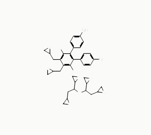 C1OC1CC(OC(CC1CO1)C1CO1)C1CO1.CC(C)c1c(CC2CO2)c(CC2CO2)c(C(C)C)c(-c2ccc(N)cc2)c1-c1ccc(N)cc1